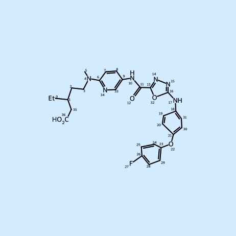 CCC(CCN(C)c1ccc(NC(=O)c2nnc(Nc3ccc(Oc4ccc(F)cc4)cc3)o2)cn1)CC(=O)O